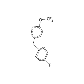 Fc1ccc(Cc2ccc(OC(F)(F)F)cc2)cc1